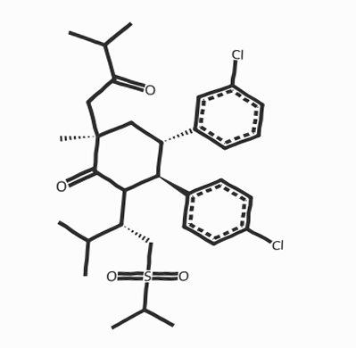 CC(C)C(=O)C[C@@]1(C)C[C@H](c2cccc(Cl)c2)[C@@H](c2ccc(Cl)cc2)C([C@H](CS(=O)(=O)C(C)C)C(C)C)C1=O